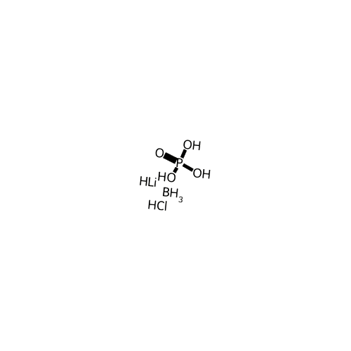 B.Cl.O=P(O)(O)O.[LiH]